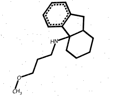 COCCCNC12CCCCC1Cc1ccccc12